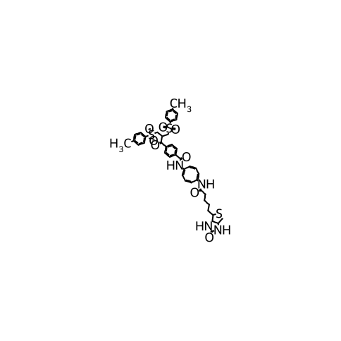 Cc1ccc(S(=O)(=O)CC(CS(=O)(=O)c2ccc(C)cc2)C(=O)c2ccc(C(=O)NC3=C/C=C\C(NC(=O)CCCCC4SCC5NC(=O)NC54)=C/C=C\3)cc2)cc1